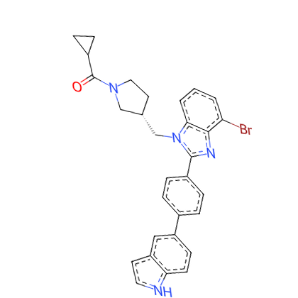 O=C(C1CC1)N1CC[C@H](Cn2c(-c3ccc(-c4ccc5[nH]ccc5c4)cc3)nc3c(Br)cccc32)C1